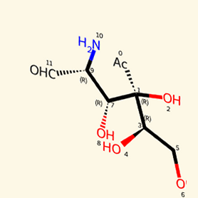 CC(=O)[C@](O)([C@H](O)CO)[C@H](O)[C@@H](N)C=O